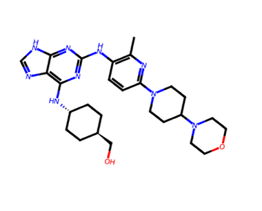 Cc1nc(N2CCC(N3CCOCC3)CC2)ccc1Nc1nc(N[C@H]2CC[C@H](CO)CC2)c2nc[nH]c2n1